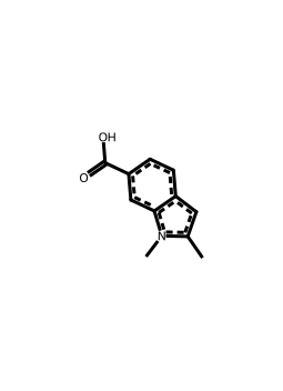 Cc1cc2ccc(C(=O)O)cc2n1C